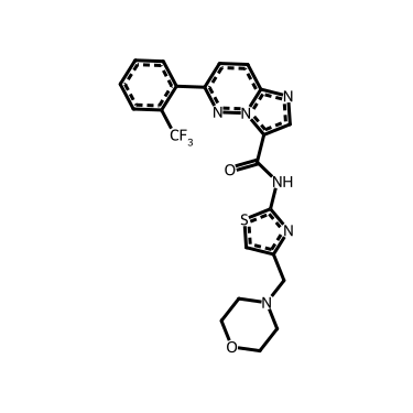 O=C(Nc1nc(CN2CCOCC2)cs1)c1cnc2ccc(-c3ccccc3C(F)(F)F)nn12